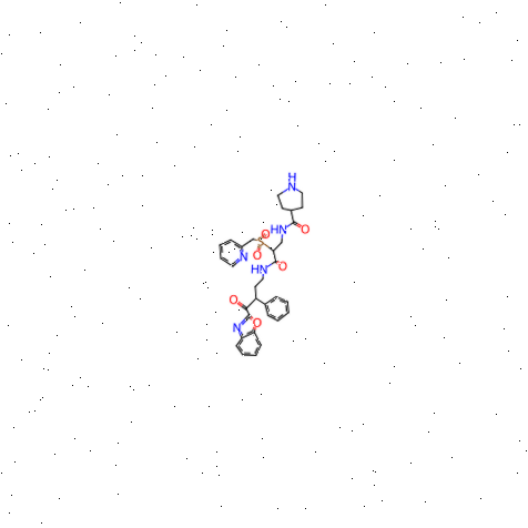 O=C(NCC(C(=O)NCCC(C(=O)c1nc2ccccc2o1)c1ccccc1)S(=O)(=O)Cc1ccccn1)C1CCNCC1